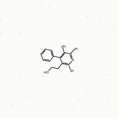 CCCc1c(C(C)C)nc(C(C)C)c(CCO)c1-c1ccccc1